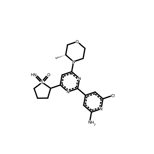 C[C@@H]1COCCN1c1cc(C2CCCS2(=N)=O)nc(-c2cc(N)nc(Cl)c2)n1